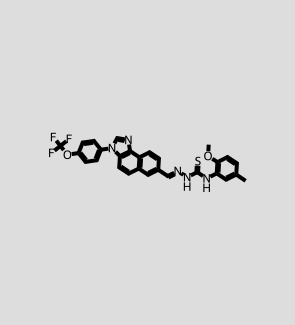 COc1ccc(C)cc1NC(=S)N/N=C/c1ccc2c(ccc3c2ncn3-c2ccc(OC(F)(F)F)cc2)c1